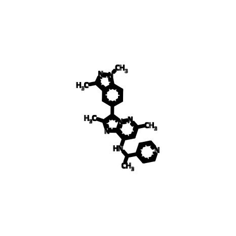 Cc1cc(NC(C)c2ccncc2)c2nc(C)c(-c3ccc4c(c3)c(C)nn4C)n2n1